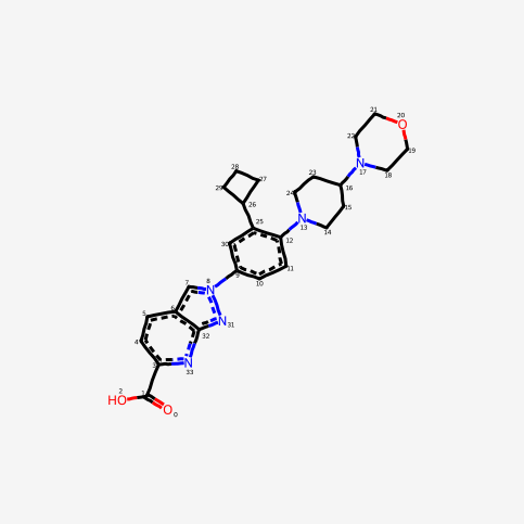 O=C(O)c1ccc2cn(-c3ccc(N4CCC(N5CCOCC5)CC4)c(C4CCC4)c3)nc2n1